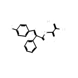 C=C(C)C(=O)NC(=O)/C(=C/c1ccc(Cl)cc1)c1ccccc1